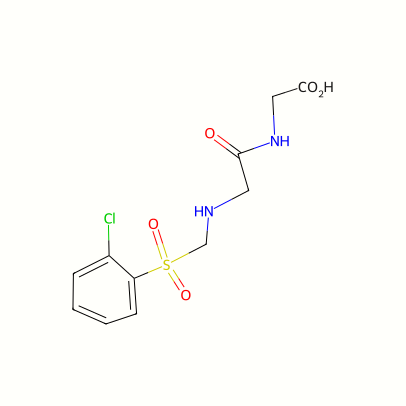 O=C(O)CNC(=O)CNCS(=O)(=O)c1ccccc1Cl